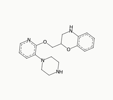 c1ccc2c(c1)NCC(COc1ncccc1N1CCNCC1)O2